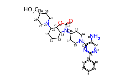 Nc1cnc(-c2ccccc2)nc1N1CCC(N2C(=O)OC3C(N4CCC(C(=O)O)CC4)CCCC32)CC1